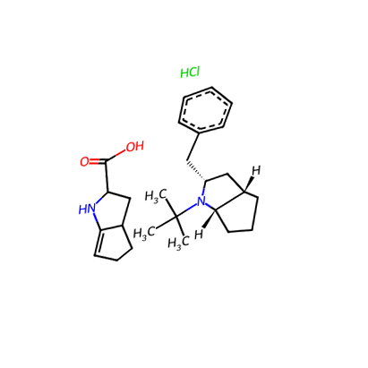 CC(C)(C)N1[C@H](Cc2ccccc2)C[C@@H]2CCC[C@@H]21.Cl.O=C(O)C1CC2CCC=C2N1